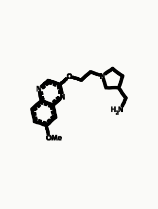 COc1ccc2ncc(OCCN3CCC(CN)C3)nc2c1